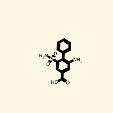 Nc1cc(C(=O)O)cc(S(N)(=O)=O)c1-c1ccccc1